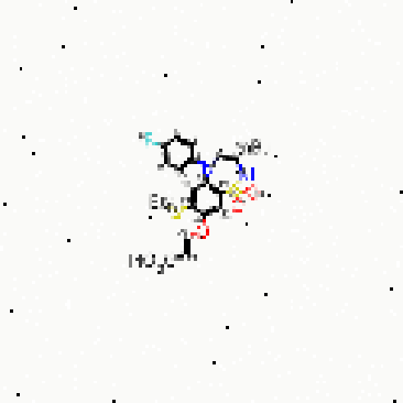 CCCC[C@@H]1CN(c2ccc(F)cc2)c2cc(SCC)c(O/C=C/C(=O)O)cc2S(=O)(=O)N1